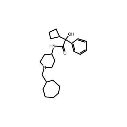 O=C(NC1CCN(CC2CCCCCC2)CC1)C(O)(c1ccccc1)C1CCC1